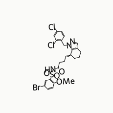 COc1ccc(Br)cc1S(=O)(=O)NC(=O)CC/C=C1\CCCc2cnn(Cc3ccc(Cl)cc3Cl)c21